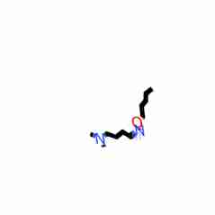 CCCCCO/N=C\CCCN(C)C